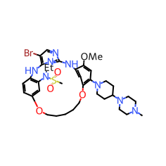 CCN(c1cc2ccc1Nc1nc(ncc1Br)Nc1cc(c(N3CCC(N4CCN(C)CC4)CC3)cc1OC)OCCCCCO2)S(C)(=O)=O